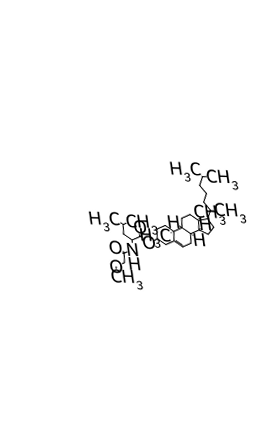 COCC(=O)NC(CC(C)C)C(=O)O[C@@H]1CC[C@]2(C)C(=CC[C@@H]3[C@H]4CCC([C@@H](C)CCCC(C)C)[C@]4(C)CC[C@H]32)C1